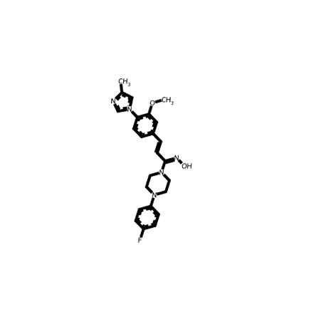 COc1cc(/C=C/C(=NO)N2CCN(c3ccc(F)cc3)CC2)ccc1-n1cnc(C)c1